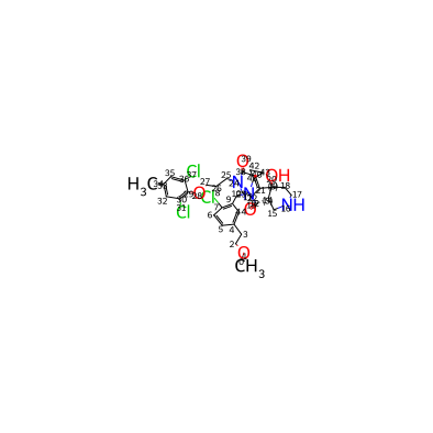 COCCc1ccc(Cl)c(CN(C(=O)[C@H]2CNCC[C@@]2(O)c2ccn(CCCOc3c(Cl)cc(C)cc3Cl)c(=O)c2)C2CC2)c1